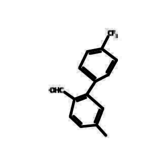 Cc1ccc([C]=O)c(-c2ccc(C(F)(F)F)cc2)c1